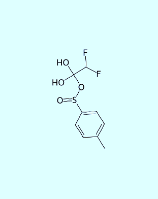 Cc1ccc(S(=O)OC(O)(O)C(F)F)cc1